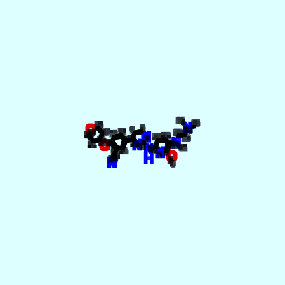 COc1nc(Nc2nccc(-c3ccc(OC4CCOCC4)c(C#N)c3)n2)ccc1N(C)CCN(C)C